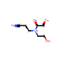 N#CCCN(CCO)C(=O)C=O